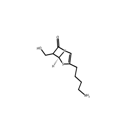 NCCCCC1=CN2C(=O)C(CO)[C@@H]2S1